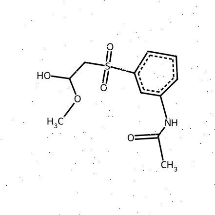 COC(O)CS(=O)(=O)c1cccc(NC(C)=O)c1